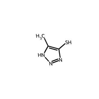 Cc1[nH]nnc1S